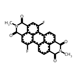 CN1C(=O)c2ccc3c4c(F)cc5c6c(cc(F)c(c7ccc(c2c37)C1=O)c64)C(=O)N(C)C5=O